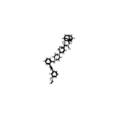 CCOc1cccc(C#Cc2ccccc2CN2CCN(c3ccc(C(=O)N(C)CC45CC6CC(CC(C6)C4)C5)nn3)CC2)c1